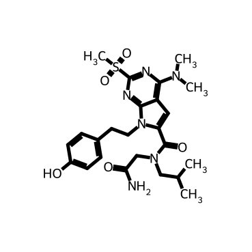 CC(C)CN(CC(N)=O)C(=O)c1cc2c(N(C)C)nc(S(C)(=O)=O)nc2n1CCc1ccc(O)cc1